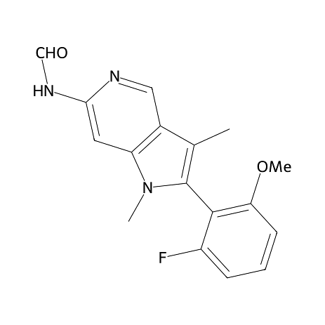 COc1cccc(F)c1-c1c(C)c2cnc(NC=O)cc2n1C